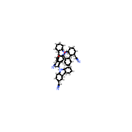 CCC(/C=C\C=C(/C)n1c2ccccc2c2cc(C#N)ccc21)c1ccccc1-c1c(C#N)cccc1-n1c2ccccc2c2cc(C#N)ccc21